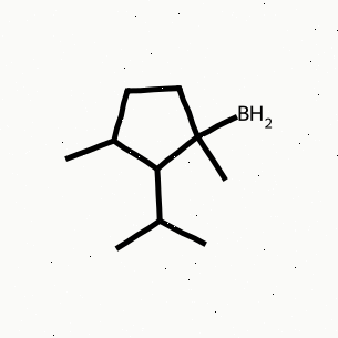 BC1(C)CCC(C)C1C(C)C